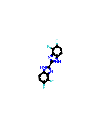 Fc1ccc2[nH]c(-c3nc4c(F)c(F)ccc4[nH]3)nc2c1F